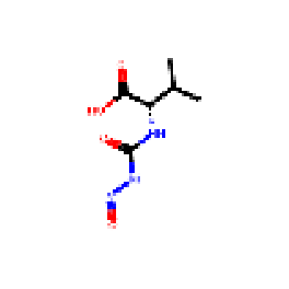 CC(C)[C@H](NC(=O)NN=O)C(=O)O